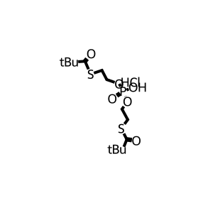 CC(C)(C)C(=O)SCCOP(=O)(O)OCCSC(=O)C(C)(C)C.Cl